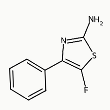 Nc1nc(-c2ccccc2)c(F)s1